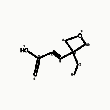 CCC1(C=CC(=O)O)COC1